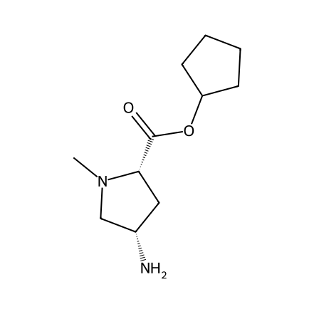 CN1C[C@@H](N)C[C@H]1C(=O)OC1CCCC1